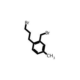 Cc1ccc(CCCBr)c(CBr)c1